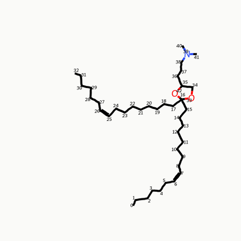 CCCCCC/C=C\CCCCCCCCC1(CCCCCCCC/C=C\CCCCCC)OCC(CCCN(C)C)O1